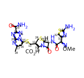 CO/N=C(\C(=O)N[C@@H]1C(=O)N2C(C(=O)O)=C(CSc3cc(C)nc4nc(C(N)=O)nn34)CS[C@H]12)c1csc(N)n1